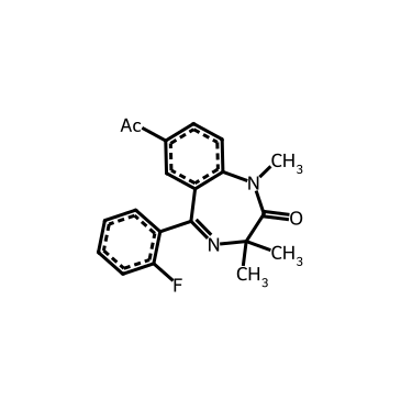 CC(=O)c1ccc2c(c1)C(c1ccccc1F)=NC(C)(C)C(=O)N2C